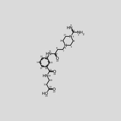 N=C(N)N1CCN(CCC(=O)Nc2cccc(C(=O)NCCC(=O)O)c2)CC1